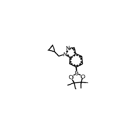 CC1(C)OB(c2ccc3cnn(CC4CC4)c3c2)OC1(C)C